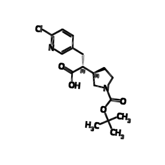 CC(C)(C)OC(=O)N1CC[C@H]([C@@H](Cc2ccc(Cl)nc2)C(=O)O)C1